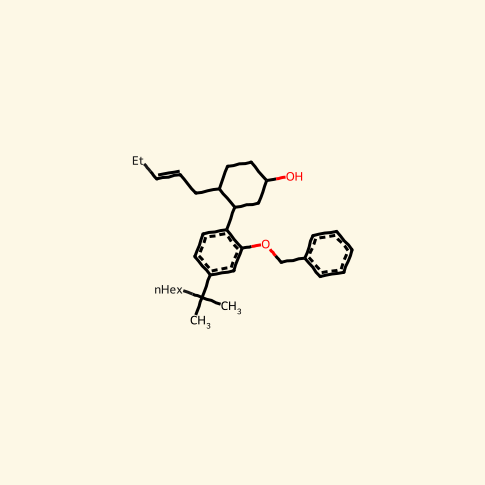 CCC=CCC1CCC(O)CC1c1ccc(C(C)(C)CCCCCC)cc1OCc1ccccc1